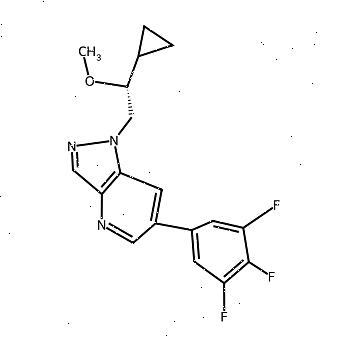 CO[C@@H](Cn1ncc2ncc(-c3cc(F)c(F)c(F)c3)cc21)C1CC1